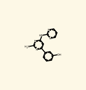 Nc1nc(Nc2ncccn2)cc(-c2cccc(O)c2)n1